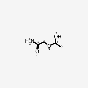 CC(O)OCC(N)=O